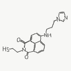 O=C1c2cccc3c(NCCCn4ccnc4)ccc(c23)C(=O)N1CCS